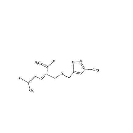 C=C(F)/C(=C\C=C(/C)F)COCc1cc(C=O)no1